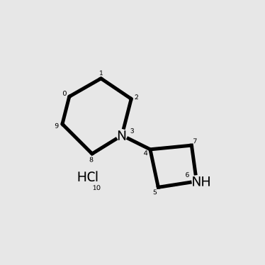 C1CCN(C2CNC2)CC1.Cl